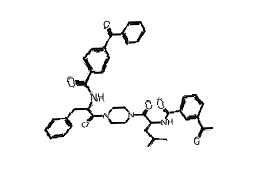 CC(=O)c1cccc(C(=O)N[C@@H](CC(C)C)C(=O)N2CCN(C(=O)C(Cc3ccccc3)NC(=O)c3ccc(C(=O)c4ccccc4)cc3)CC2)c1